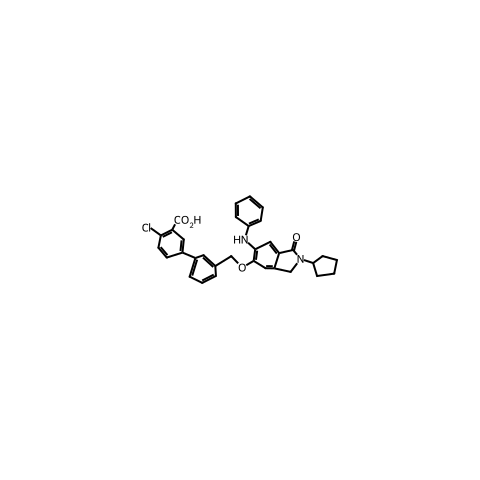 O=C(O)c1cc(-c2cccc(COc3cc4c(cc3Nc3ccccc3)C(=O)N(C3CCCC3)C4)c2)ccc1Cl